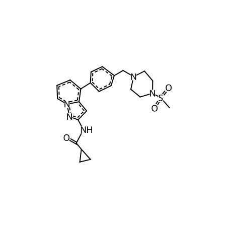 CS(=O)(=O)N1CCN(Cc2ccc(-c3cccn4nc(NC(=O)C5CC5)cc34)cc2)CC1